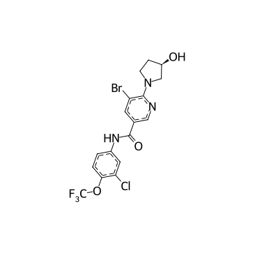 O=C(Nc1ccc(OC(F)(F)F)c(Cl)c1)c1cnc(N2CC[C@@H](O)C2)c(Br)c1